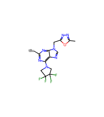 Cc1nnc(Cn2cnc3c(N4CC(F)(F)C(F)(F)C4)nc(C(C)(C)C)nc32)o1